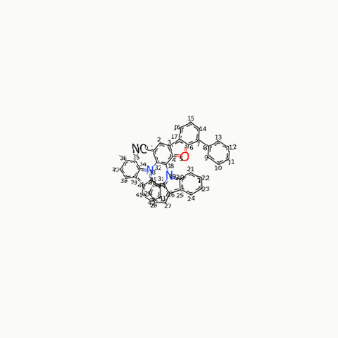 N#Cc1cc2c(oc3c(-c4ccccc4)cccc32)c(-n2c3ccccc3c3ccccc32)c1-n1c2ccccc2c2ccccc21